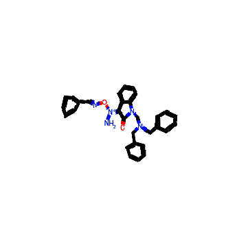 N[N+](ON=Cc1ccccc1)=C1C(=O)N(CN(Cc2ccccc2)Cc2ccccc2)c2ccccc21